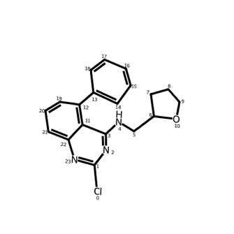 Clc1nc(NCC2CCCO2)c2c(-c3ccccc3)cccc2n1